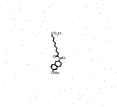 CCOC(=O)CCCCCCCCC(=O)N(CC)C1CCc2cc(OC)ccc2C1